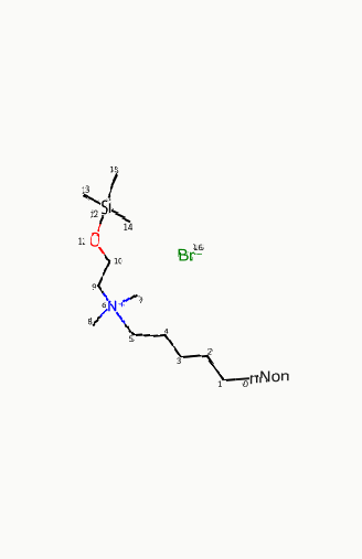 CCCCCCCCCCCCCC[N+](C)(C)CCO[Si](C)(C)C.[Br-]